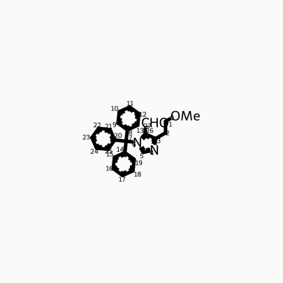 COCCc1ncn(C(c2ccccc2)(c2ccccc2)c2ccccc2)c1C=O